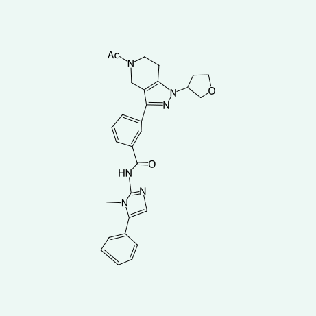 CC(=O)N1CCc2c(c(-c3cccc(C(=O)Nc4ncc(-c5ccccc5)n4C)c3)nn2C2CCOC2)C1